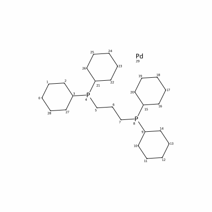 C1CCC(P(CCCP(C2CCCCC2)C2CCCCC2)C2CCCCC2)CC1.[Pd]